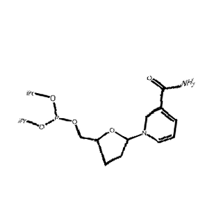 CC(C)OP(OCC1CCC(N2C=CC=C(C(N)=O)C2)O1)OC(C)C